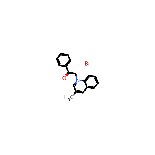 Cc1cc2ccccc2[n+](CC(=O)c2ccccc2)c1.[Br-]